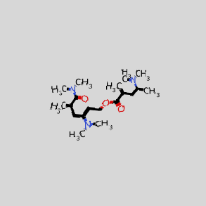 CC(CC(C)N(C)C)C(=O)OCCC(CC(C)C(=O)N(C)C)N(C)C